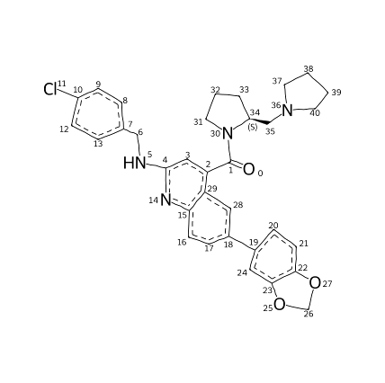 O=C(c1cc(NCc2ccc(Cl)cc2)nc2ccc(-c3ccc4c(c3)OCO4)cc12)N1CCC[C@H]1CN1CCCC1